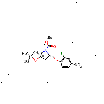 CC(C)(C)OC(=O)N1C[C@H](O[Si](C)(C)C(C)(C)C)C[C@H]1COc1ccc([N+](=O)[O-])cc1F